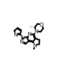 C[C@@H]1COCCN1c1nc2c(cnn2C2=NCC=C2)c2c1CCN2C